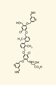 Cc1c(COc2cc(OCc3cncc(C=N)c3)c(CO)cc2Cl)cccc1-c1cccc(COc2cc(OCc3cncc(C=N)c3)c(CNCC(O)C(=O)O)cc2Cl)c1C